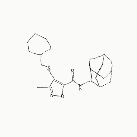 Cc1noc(C(=O)NC2C3CC4CC(C3)CC2C4)c1SCC1CCCCC1